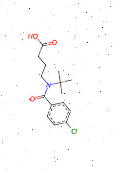 CC(C)(C)N(CCCC(=O)O)C(=O)c1ccc(Cl)cc1